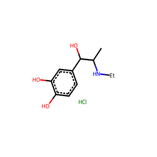 CCNC(C)C(O)c1ccc(O)c(O)c1.Cl